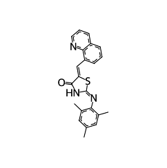 Cc1cc(C)c(N=C2NC(=O)C(=Cc3cccc4cccnc34)S2)c(C)c1